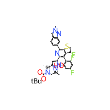 C[C@@H]1c2cc(-c3nc(-c4ccc5cn(C)nc5c4)c4scc(F)c4c3-c3c(O)cc(F)cc3F)nn2[C@@H](C)CN1C(=O)OC(C)(C)C